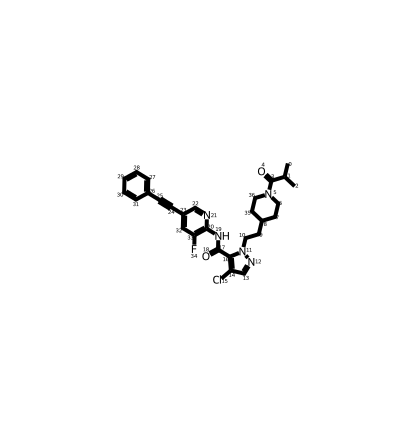 CC(C)C(=O)N1CCC(CCn2ncc(Cl)c2C(=O)Nc2ncc(C#Cc3ccccc3)cc2F)CC1